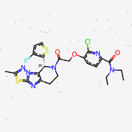 CCN(CC)C(=O)c1ccc(OCC(=O)N2CCc3nc4sc(C)nn4c3[C@@H]2c2sccc2F)c(Cl)n1